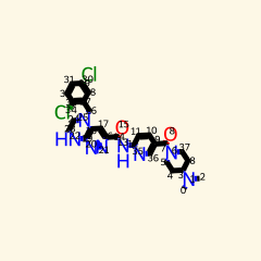 CN(C)C1CCN(C(=O)c2ccc(NC(=O)c3cc4c(nn3)NCCN4Cc3cc(Cl)ccc3Cl)nc2)CC1